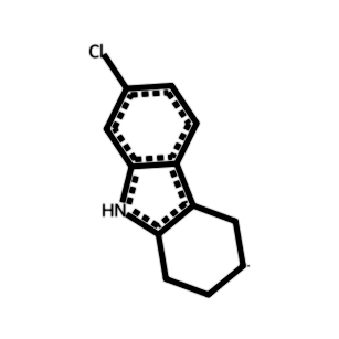 Clc1ccc2c3c([nH]c2c1)CC[CH]C3